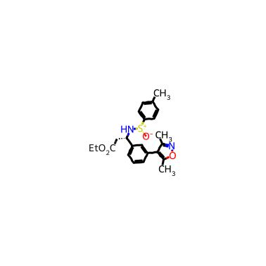 CCOC(=O)C[C@H](N[S@+]([O-])c1ccc(C)cc1)c1cccc(-c2c(C)noc2C)c1